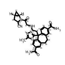 Cc1nnc(C2(CCNCC(=O)N3C(C#N)C[C@@H]4C[C@@H]43)c3ccc(C(N)=O)cc3CCc3cc(C(N)=O)ccc32)o1